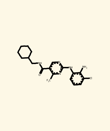 Nc1c(Cl)cccc1Nc1ncc(C(=O)NCC2CCCCC2)c(C(F)(F)F)n1